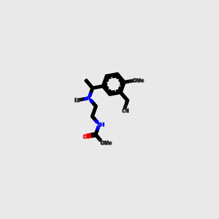 CCN(CCNC(=O)OC)C(C)c1ccc(OC)c(CC#N)c1